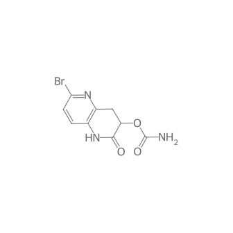 NC(=O)OC1Cc2nc(Br)ccc2NC1=O